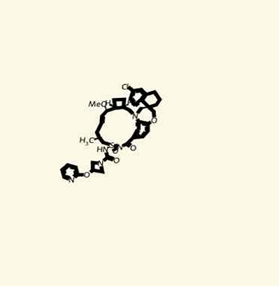 CO[C@H]1/C=C/C[C@H](C)C[S@@](=O)(NC(=O)N2CC(Oc3ccccn3)C2)=NC(=O)c2ccc3c(c2)N(C[C@@H]2CC[C@H]21)C[C@@]1(CCCc2cc(Cl)ccc21)CO3